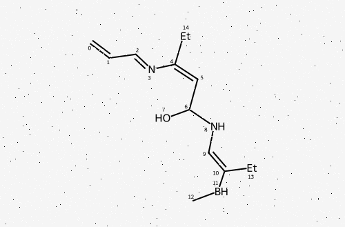 C=C/C=N/C(=C\C(O)N/C=C(/BC)CC)CC